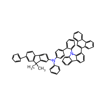 CC1(C)c2cc(-c3ccccc3)ccc2-c2ccc(N(c3ccccc3)c3ccc(-c4ccccc4-n4c5ccccc5c5cccc(-c6cc7ccccc7c7ccccc67)c54)cc3)cc21